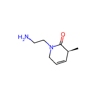 C[C@H]1C=CCN(CCN)C1=O